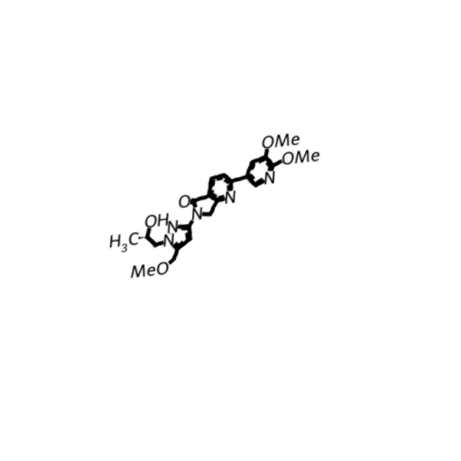 COCc1cc(N2Cc3nc(-c4cnc(OC)c(OC)c4)ccc3C2=O)nn1C[C@H](C)O